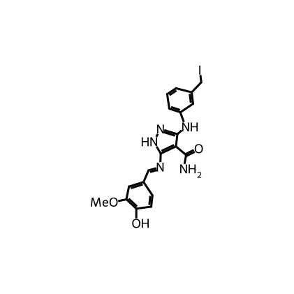 COc1cc(/C=N/c2[nH]nc(Nc3cccc(CI)c3)c2C(N)=O)ccc1O